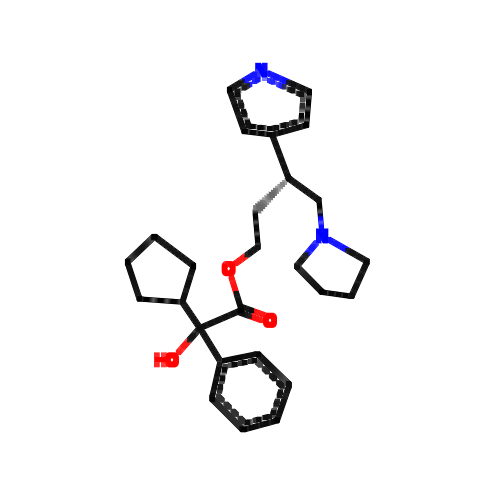 O=C(OCC[C@@H](CN1CCCC1)c1ccncc1)C(O)(c1ccccc1)C1CCCC1